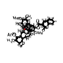 COc1cc2c(cc1OC(=O)c1cc3ccccc3oc1=O)CCN[C@]21CS[C@@H]2c3c(OC(C)=O)c(C)c4c(c3[C@H](COC1=O)N1C2[C@@H]2c3c(cc(C)c(OC)c3O)C[C@@H]([C@@H]1C#N)N2C)OCO4